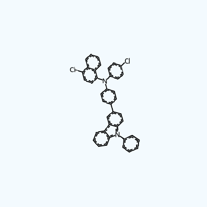 Clc1ccc(N(c2ccc(-c3ccc4c(c3)c3ccccc3n4-c3ccccc3)cc2)c2ccc(Cl)c3ccccc23)cc1